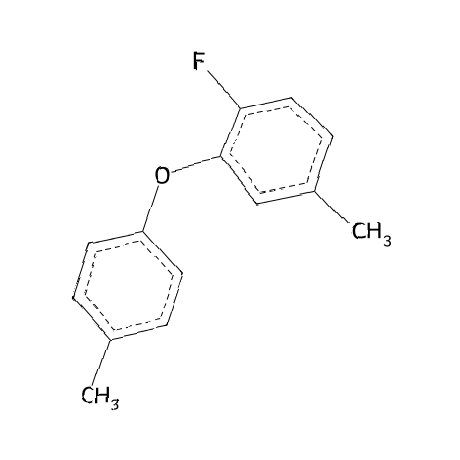 Cc1ccc(Oc2cc(C)ccc2F)cc1